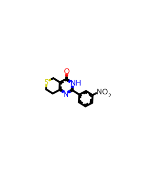 O=c1[nH]c(-c2cccc([N+](=O)[O-])c2)nc2c1CSCC2